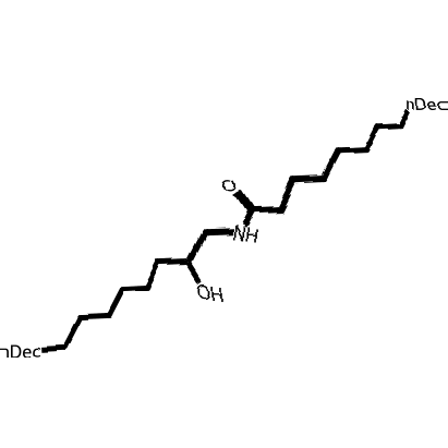 CCCCCCCCCCCCCCCCCC(=O)NCC(O)CCCCCCCCCCCCCCCC